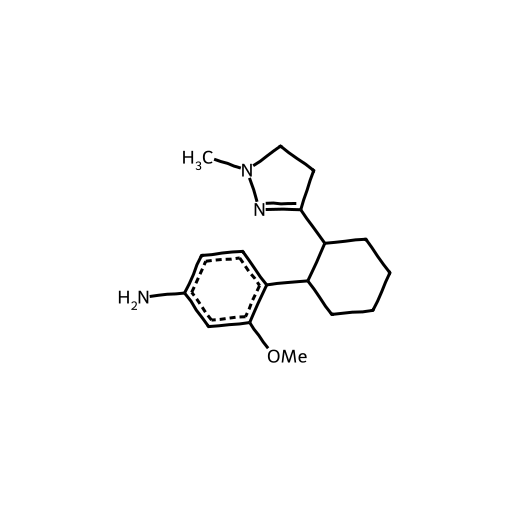 COc1cc(N)ccc1C1CCCCC1C1=NN(C)CC1